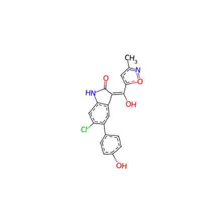 Cc1cc(/C(O)=C2\C(=O)Nc3cc(Cl)c(-c4ccc(O)cc4)cc32)on1